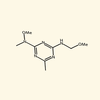 COCNc1nc(C)nc(N(C)OC)n1